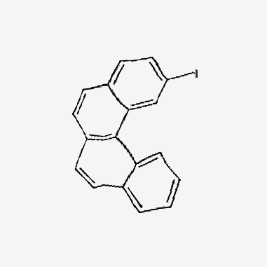 Ic1ccc2ccc3ccc4ccccc4c3c2c1